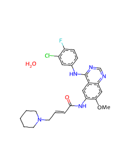 COc1cc2ncnc(Nc3ccc(F)c(Cl)c3)c2cc1NC(=O)C=CCN1CCCCC1.O